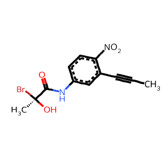 CC#Cc1cc(NC(=O)[C@@](C)(O)Br)ccc1[N+](=O)[O-]